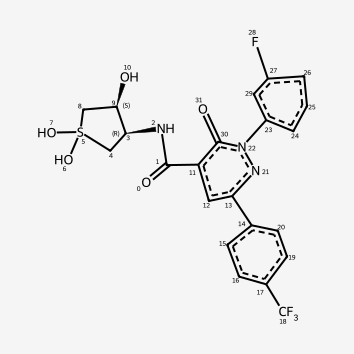 O=C(N[C@H]1CS(O)(O)C[C@H]1O)c1cc(-c2ccc(C(F)(F)F)cc2)nn(-c2cccc(F)c2)c1=O